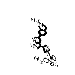 CN1CCc2ccc(-c3cnc4[nH]cc(-c5cnn(C(=O)N(C)C)c5)c4c3)cc2C1